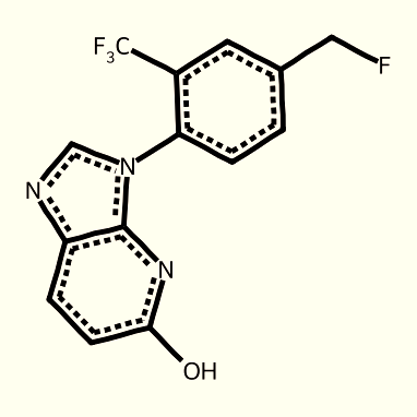 Oc1ccc2ncn(-c3ccc(CF)cc3C(F)(F)F)c2n1